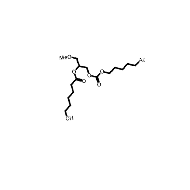 COCC(COC(=O)OCCCCCC(C)=O)OC(=O)CCCCCO